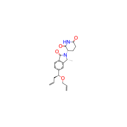 C=CCO[C@@H](CC=C)c1ccc2c(c1)[C@@H](C)N([C@H]1CCC(=O)NC1=O)C2=O